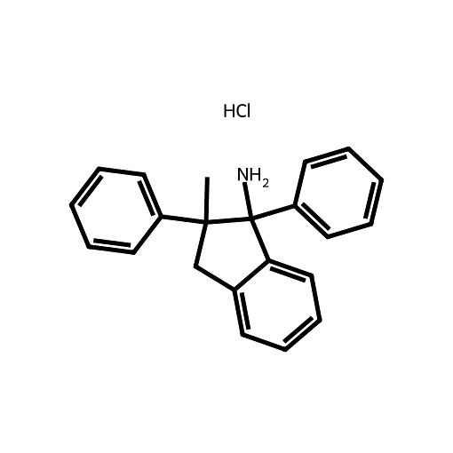 CC1(c2ccccc2)Cc2ccccc2C1(N)c1ccccc1.Cl